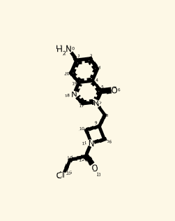 Nc1ccc2c(=O)n(CC3CN(C(=O)CCl)C3)cnc2c1